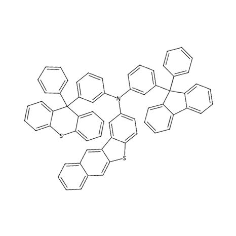 c1ccc(C2(c3cccc(N(c4cccc(C5(c6ccccc6)c6ccccc6-c6ccccc65)c4)c4ccc5sc6cc7ccccc7cc6c5c4)c3)c3ccccc3Sc3ccccc32)cc1